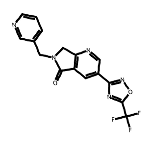 O=C1c2cc(-c3noc(C(F)(F)F)n3)cnc2CN1Cc1cccnc1